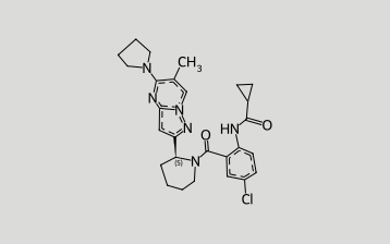 Cc1cn2nc([C@@H]3CCCCN3C(=O)c3cc(Cl)ccc3NC(=O)C3CC3)cc2nc1N1CCCC1